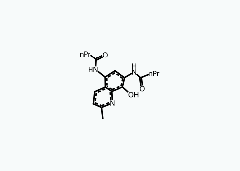 CCCC(=O)Nc1cc(NC(=O)CCC)c2ccc(C)nc2c1O